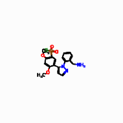 COc1cc(OC)c(S(=O)(=O)Cl)cc1-c1ccnn1-c1ccccc1CN